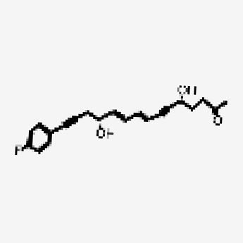 CC(=O)CC[C@H](O)C#C/C=C/C=C/[C@H](O)CC#Cc1ccc(F)cc1